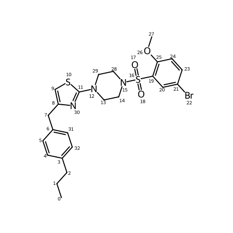 CCCc1ccc(Cc2csc(N3CCN(S(=O)(=O)c4cc(Br)ccc4OC)CC3)n2)cc1